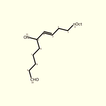 CCCCCCCCCC/C=C/C(CCCCC=O)N=O